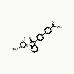 COC(=O)c1ccc(-c2ccc(-n3c(=O)n([C@@H]4CN(C(=O)O)C[C@H]4F)c4ncccc43)cc2)cc1